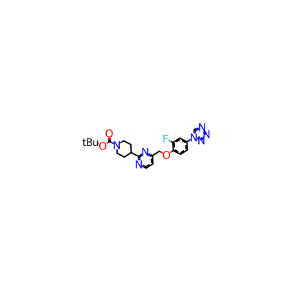 CC(C)(C)OC(=O)N1CCC(c2nccc(COc3ccc(-n4cnnn4)cc3F)n2)CC1